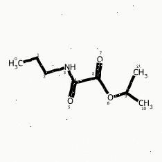 CCCNC(=O)C(=O)OC(C)C